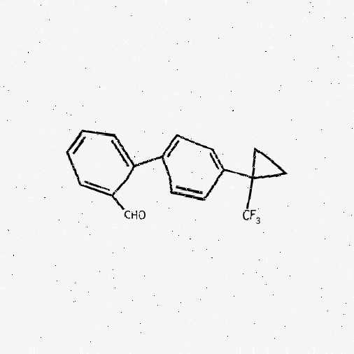 O=Cc1ccccc1-c1ccc(C2(C(F)(F)F)CC2)cc1